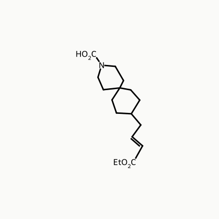 CCOC(=O)/C=C/CC1CCC2(CC1)CCN(C(=O)O)CC2